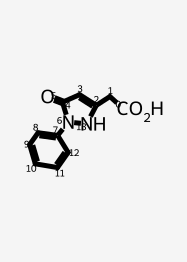 O=C(O)Cc1cc(=O)n(-c2ccccc2)[nH]1